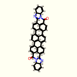 O=c1c2ccc3c4ccc5c6ccc7c8n(c(=O)c9ccc(c%10ccc(c%11ccc(c%12n1C1C=CC=CC1N=%12)c2c3%11)c4c%105)c6c97)C1C=CC=CC1N=8